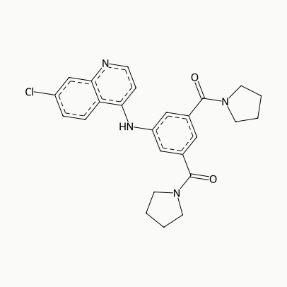 O=C(c1cc(Nc2ccnc3cc(Cl)ccc23)cc(C(=O)N2CCCC2)c1)N1CCCC1